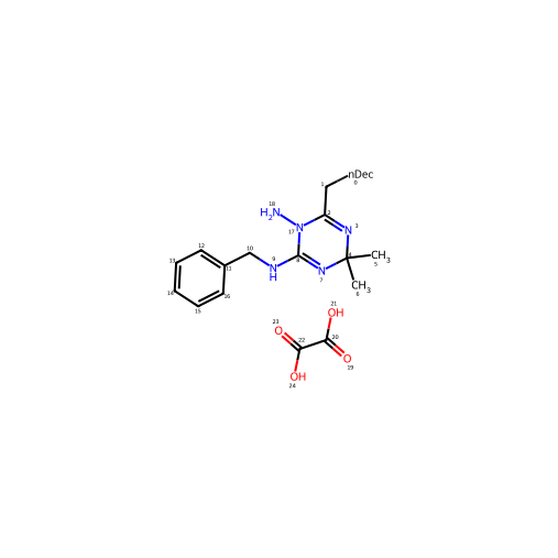 CCCCCCCCCCCC1=NC(C)(C)N=C(NCc2ccccc2)N1N.O=C(O)C(=O)O